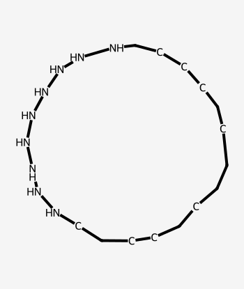 C1CCCCCCCNNNNNNNNNCCCCCC1